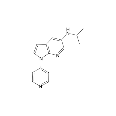 CC(C)Nc1cnc2c(ccn2-c2ccncc2)c1